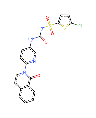 O=C(Nc1ccc(-n2ccc3ccccc3c2=O)nc1)NS(=O)(=O)c1ccc(Cl)s1